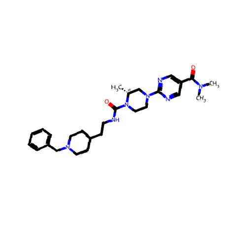 C[C@@H]1CN(c2ncc(C(=O)N(C)C)cn2)CCN1C(=O)NCCC1CCN(Cc2ccccc2)CC1